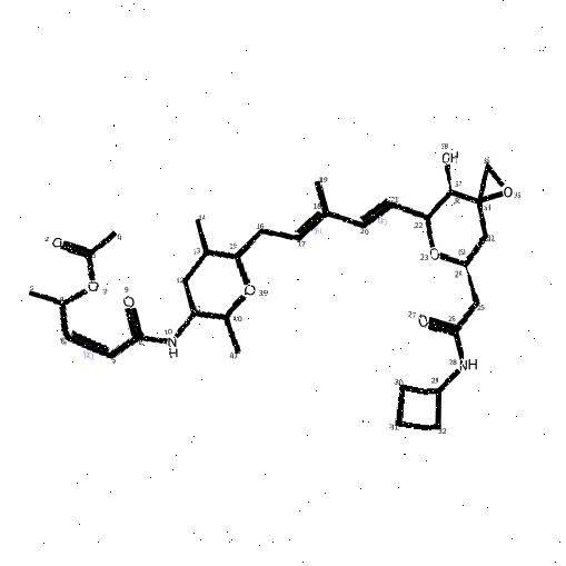 CC(=O)OC(C)/C=C\C(=O)NC1CC(C)C(C/C=C(C)/C=C/C2O[C@H](CC(=O)NC3CCC3)CC3(CO3)[C@@H]2O)OC1C